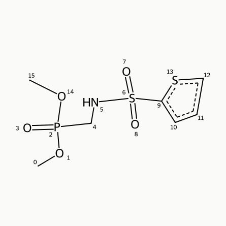 COP(=O)(CNS(=O)(=O)c1cccs1)OC